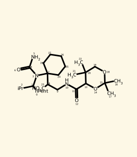 CCCCCC(C(C)C)N(C(N)=O)C1(C(CNC(=O)C2OC(C)(C)OCC2(C)C)C(=O)O)CCCCC1